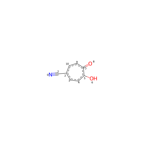 N#Cc1ccc(O)c(=O)cc1